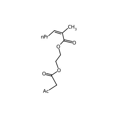 CCCC=C(C)C(=O)OCCOC(=O)CC(C)=O